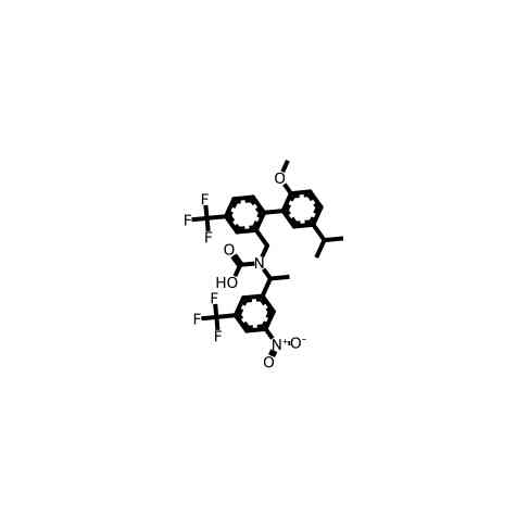 COc1ccc(C(C)C)cc1-c1ccc(C(F)(F)F)cc1CN(C(=O)O)C(C)c1cc([N+](=O)[O-])cc(C(F)(F)F)c1